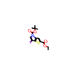 CCOC(=O)c1cc2c(s1)c(I)cn2C(=O)OC(C)(C)C